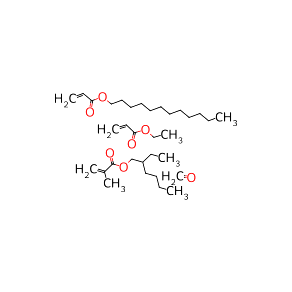 C=C(C)C(=O)OCC(CC)CCCC.C=CC(=O)OCC.C=CC(=O)OCCCCCCCCCCCC.C=O